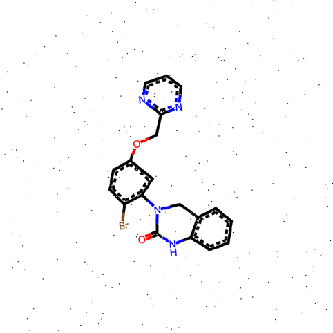 O=C1Nc2ccccc2CN1c1cc(OCc2ncccn2)ccc1Br